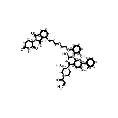 C=CC(=O)N1CCN(C2=NC(O)N(c3c(C)cccc3OCCOCCNc3cccc4c3C(=O)N(C3CCC(=O)NC3=O)C4=O)c3nc(-c4ccccc4F)c(F)cc32)[C@@H](C)C1